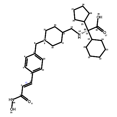 O=C(/C=C/c1ccc(CN2CCC(CN[C@](C(=O)O)(C3CCCCC3)C3CCCC3)CC2)cc1)NO